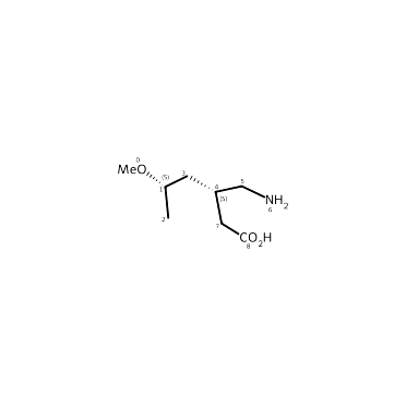 CO[C@@H](C)C[C@H](CN)CC(=O)O